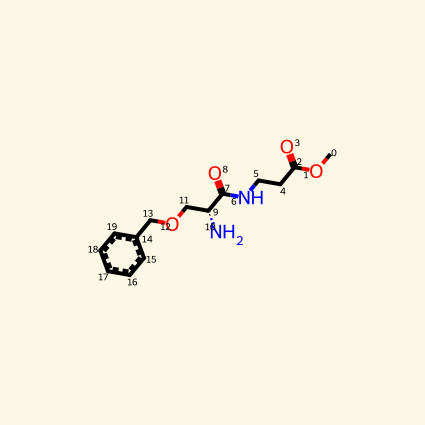 COC(=O)CCNC(=O)[C@H](N)COCc1ccccc1